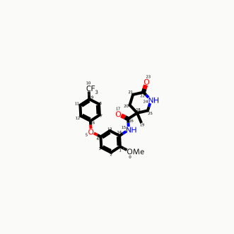 COc1ccc(Oc2ccc(C(F)(F)F)cc2)cc1NC(=O)C1(C)CCC(=O)NC1